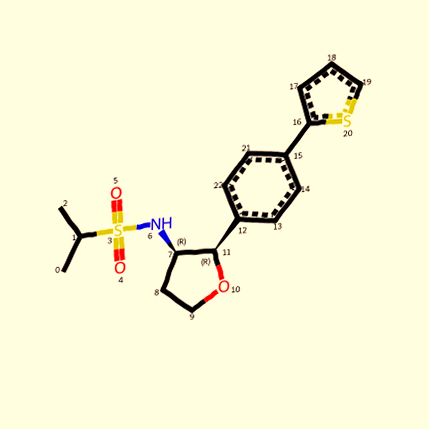 CC(C)S(=O)(=O)N[C@@H]1CCO[C@@H]1c1ccc(-c2cccs2)cc1